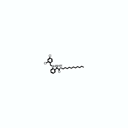 CCCCCCCCCCCNC(=O)C(=N)c1ccccc1NCc1ccc(Cl)cc1Cl